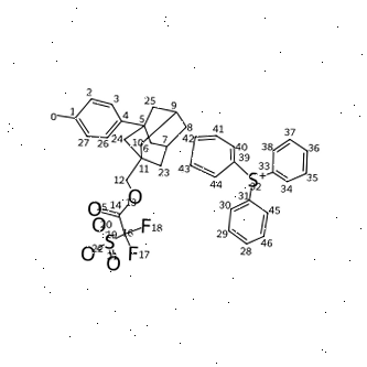 Cc1ccc(C23CC4CC(CC(COC(=O)C(F)(F)S(=O)(=O)[O-])(C4)C2)C3)cc1.c1ccc([S+](c2ccccc2)c2ccccc2)cc1